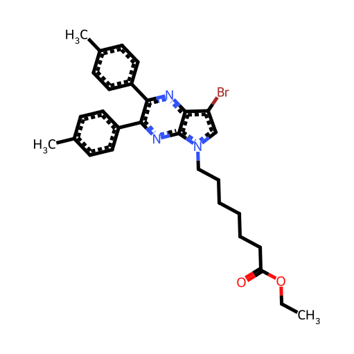 CCOC(=O)CCCCCCn1cc(Br)c2nc(-c3ccc(C)cc3)c(-c3ccc(C)cc3)nc21